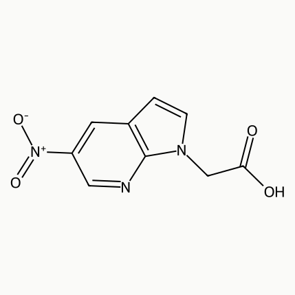 O=C(O)Cn1ccc2cc([N+](=O)[O-])cnc21